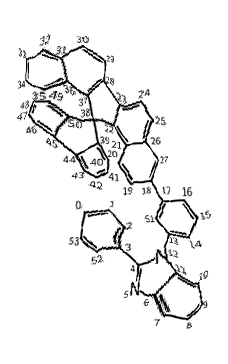 c1ccc(-c2nc3ccccc3n2-c2cccc(-c3ccc4c5c(ccc4c3)-c3ccc4ccccc4c3C53c4ccccc4-c4ccccc43)c2)cc1